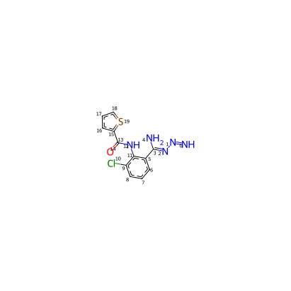 N=N/N=C(\N)c1cccc(Cl)c1NC(=O)c1cccs1